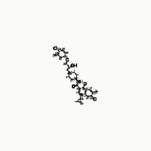 O=C(NN1CCN(C[C@@H](O)COc2ccc(Cl)c(F)c2)CC1)c1cn(C2CC2)c2cc(Cl)c(F)cc2c1=O